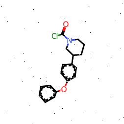 O=C(Cl)N1CCCC(c2ccc(Oc3ccccc3)cc2)C1